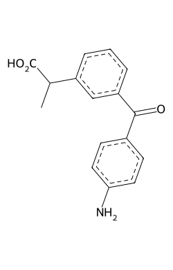 CC(C(=O)O)c1cccc(C(=O)c2ccc(N)cc2)c1